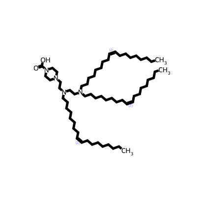 CCCCCCCC/C=C\CCCCCCCCN(CCCCCCCC/C=C\CCCCCCCC)CCN(CCCCCCCC/C=C\CCCCCCCC)CCN1CCN(C(=O)O)CC1